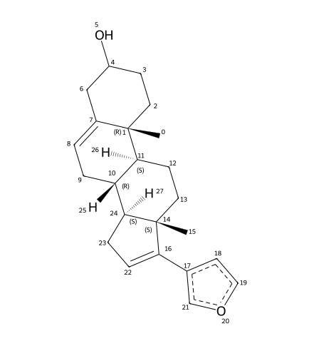 C[C@]12CCC(O)CC1=CC[C@@H]1[C@@H]2CC[C@]2(C)C(c3ccoc3)=CC[C@@H]12